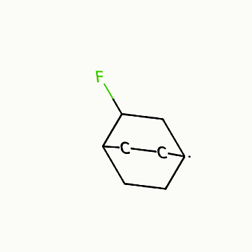 FC1C[C]2CCC1CC2